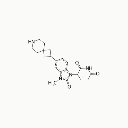 Cn1c(=O)n(C2CCC(=O)NC2=O)c2ccc(C3CC4(CCNCC4)C3)cc21